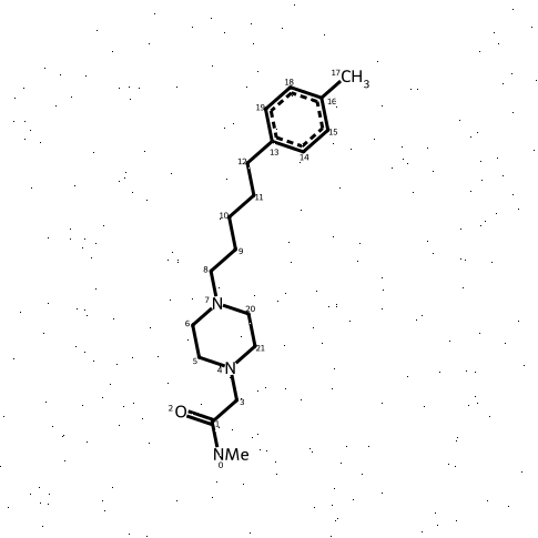 CNC(=O)CN1CCN(CCCCCc2ccc(C)cc2)CC1